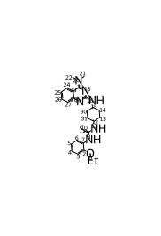 CCOc1ccccc1NC(=S)N[C@H]1CC[C@@H](Nc2nc(N(C)C)c3ccccc3n2)CC1